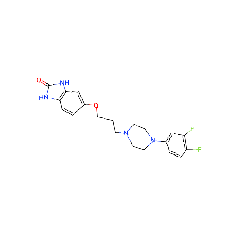 O=c1[nH]c2ccc(OCCCN3CCN(c4ccc(F)c(F)c4)CC3)cc2[nH]1